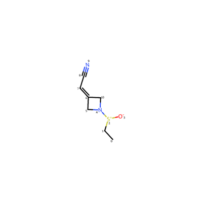 CC[S+]([O-])N1CC(=CC#N)C1